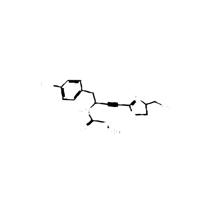 CC(C)(C)OC(=O)NC(C#CC1=NC(CO)CS1)Cc1ccc(C(F)(F)F)cc1